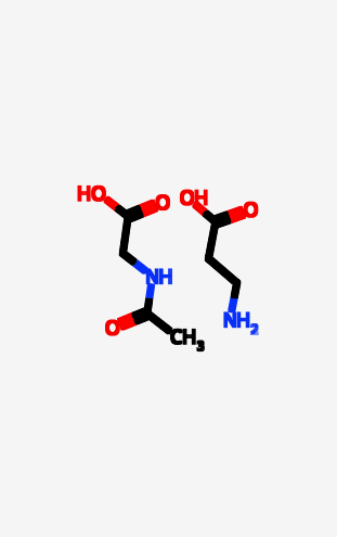 CC(=O)NCC(=O)O.NCCC(=O)O